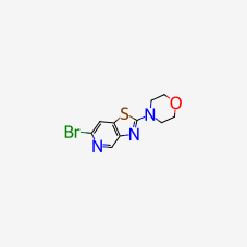 Brc1cc2sc(N3CCOCC3)nc2cn1